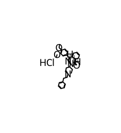 COc1ccc(C2=NN(C3CCN(CCc4ccccc4)CC3)C(=O)[C@@H]3CC=CC[C@H]23)cc1OC.Cl